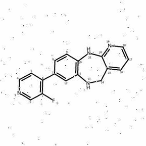 Fc1cnccc1-c1ccc2c(c1)NCc1cccnc1N2